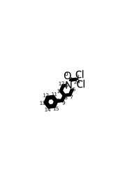 O=C(C(Cl)Cl)N1CCC(Cc2ccccc2)CC1